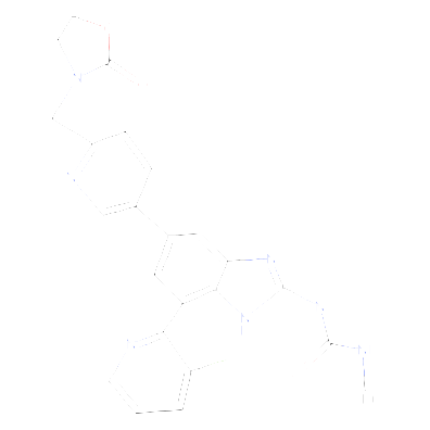 CCNC(=O)Nc1nc2cc(-c3ccc(CN4CCOC4=O)nc3)cc(-c3ncccc3F)c2[nH]1